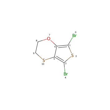 Brc1sc(Br)c2c1OCCS2